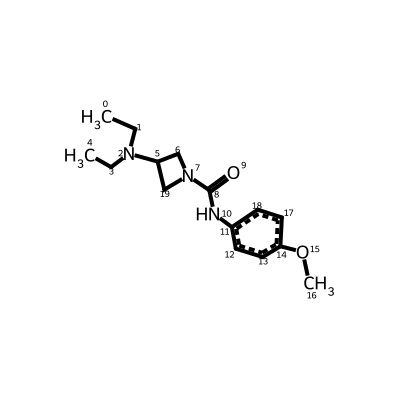 CCN(CC)C1CN(C(=O)Nc2ccc(OC)cc2)C1